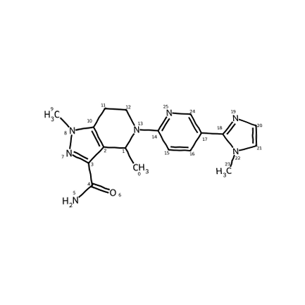 CC1c2c(C(N)=O)nn(C)c2CCN1c1ccc(-c2nccn2C)cn1